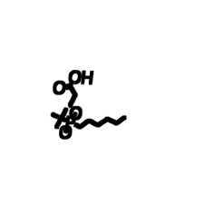 CCCCCCP(=O)(OCCC(=O)O)C(C)(C)C